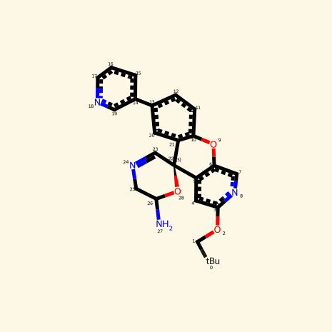 CC(C)(C)COc1cc2c(cn1)Oc1ccc(-c3cccnc3)cc1[C@@]21C=NCC(N)O1